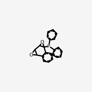 c1ccc(P(c2ccccc2)C23OC2C2OC2c2ccccc23)cc1